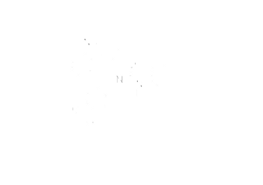 Cc1cc(C)cc(NC(=O)N(CC2(c3c[nH]c4ccccc34)CC2)C(C)c2ccc3c(c2)OCO3)c1